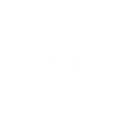 O=C(c1cn[c]s1)N1CCC1